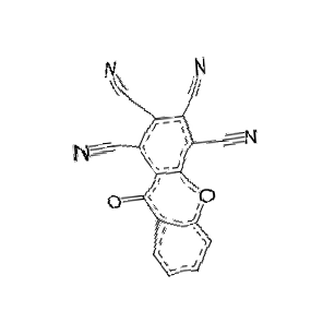 N#Cc1c(C#N)c(C#N)c2c(=O)c3ccccc3oc2c1C#N